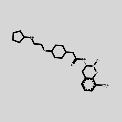 O=C(CC1CCC(NCCNC2CCCC2)CC1)N[C@H]1Cc2cccc(C(=O)O)c2OB1O